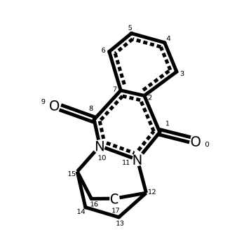 O=c1c2ccccc2c(=O)n2n1C1CCC2CC1